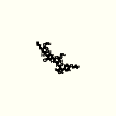 C=CCCN(CC(=O)Nc1c(Cl)cc(CN/C(=N/C(=O)c2c(-c3ccc(OCC=C)cc3)noc2C)NC(=O)OC(C)(C)C)cc1Cl)C(=O)OC(C)(C)C